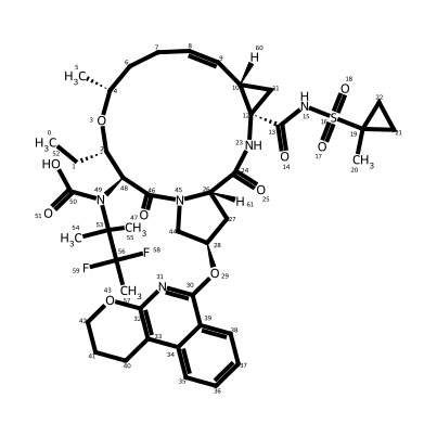 CC[C@@H]1O[C@H](C)CC/C=C\[C@@H]2C[C@@]2(C(=O)NS(=O)(=O)C2(C)CC2)NC(=O)[C@@H]2C[C@@H](Oc3nc4c(c5ccccc35)CCCO4)CN2C(=O)[C@H]1N(C(=O)O)C(C)(C)C(C)(F)F